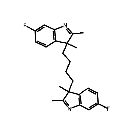 CC1=Nc2cc(F)ccc2C1(C)CCCCC1(C)C(C)=Nc2cc(F)ccc21